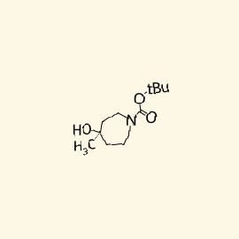 CC1(O)CCCN(C(=O)OC(C)(C)C)CC1